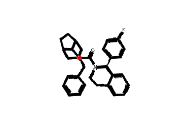 O=C(OC1C2CCC1CN(Cc1ccccc1)C2)N1CCc2ccccc2[C@@H]1c1ccc(F)cc1